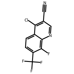 N#Cc1cnc2c(F)c(C(F)(F)F)ccc2c1Cl